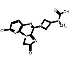 CN(C(=O)O)C1CN(C2=Nc3ccc(Cl)nc3N3CC(=O)N=C23)C1